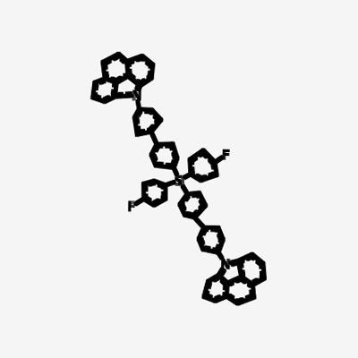 Fc1ccc([Si](c2ccc(F)cc2)(c2ccc(-c3ccc(-n4c5cccc6ccc7cccc4c7c65)cc3)cc2)c2ccc(-c3ccc(-n4c5cccc6ccc7cccc4c7c65)cc3)cc2)cc1